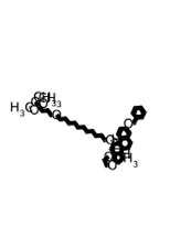 COC(CCCOCCCCCCCCCCCO[C@H]1C[C@@]2(C)[C@@H](CCC23OCCO3)[C@@H]2CCc3cc(OCc4ccccc4)ccc3[C@H]21)(OC)OC